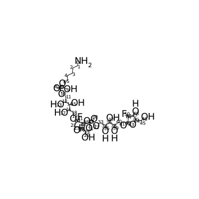 NCCCCCOP(=O)(O)OCC(O)C(O)C(O)CO[C@]1(F)CO[C@H](CO)[C@@H]1OP(=O)(O)OCC(O)C(O)C(O)CO[C@@H]1O[C@H](CO)C(O)[C@@H]1F